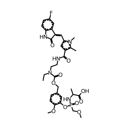 CCN(CCNC(=O)c1cc(/C=C2\C(=O)Nc3ccc(F)cc32)n(C)c1C)C(=O)OCc1ccc(OC)c(OP(=O)(COC)NC(C)C(=O)O)c1